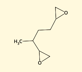 CC(CCC1CO1)C1CO1